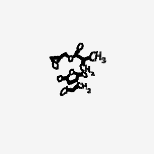 C=C(C)C(=O)OCC1CO1.C=CCl.O=C1C=CC(=O)O1